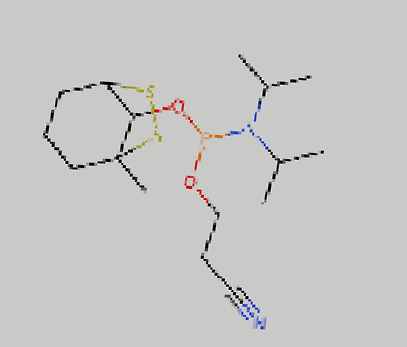 CC(C)N(C(C)C)P(OCCC#N)OC1C2CCCC1(C)SS2